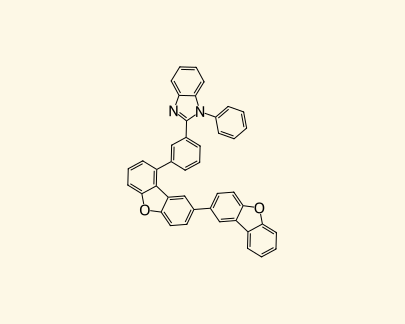 c1ccc(-n2c(-c3cccc(-c4cccc5oc6ccc(-c7ccc8oc9ccccc9c8c7)cc6c45)c3)nc3ccccc32)cc1